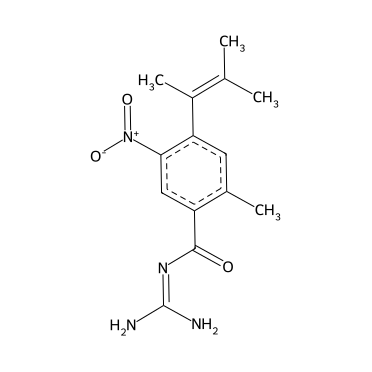 CC(C)=C(C)c1cc(C)c(C(=O)N=C(N)N)cc1[N+](=O)[O-]